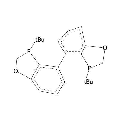 CC(C)(C)P1COc2cccc(-c3cccc4c3P(C(C)(C)C)CO4)c21